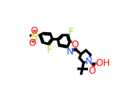 CC(C)(C)C1CC(c2nc3cc(-c4ccc(S(C)(=O)=O)cc4F)cc(F)c3o2)CCN1C(=O)O